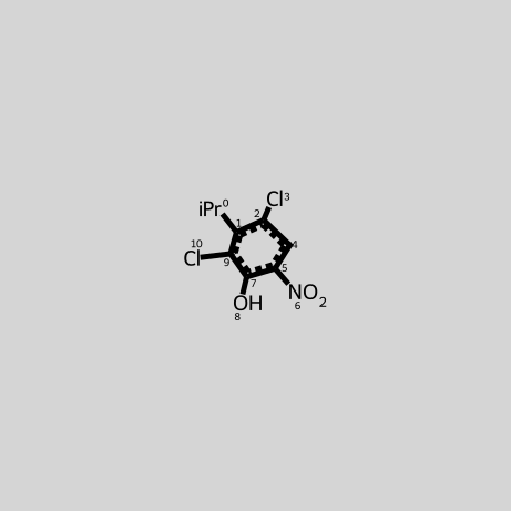 CC(C)c1c(Cl)cc([N+](=O)[O-])c(O)c1Cl